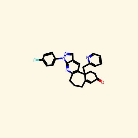 O=C1C=C2CCCc3nc4c(cnn4-c4ccc(F)cc4)cc3C2(Cc2ccccn2)CC1